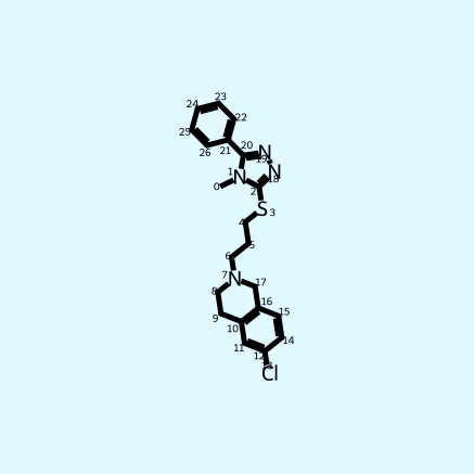 Cn1c(SCCCN2CCc3cc(Cl)ccc3C2)nnc1-c1ccccc1